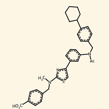 CC(=O)N(Cc1ccc(C2CCCCC2)cc1)c1cccc(-c2csc(N(C)Cc3ccc(C(=O)O)cc3)n2)c1